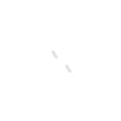 CC#CC#CF